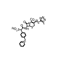 Cn1nnnc1SCC1=C(C(=O)O)N2C(=O)C(NC(=O)C(c3ccc(C[n+]4ccccc4)cc3)S(=O)(=O)O)C2SC1